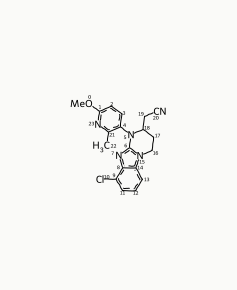 COc1ccc(N2c3nc4c(Cl)cccc4n3CCC2CC#N)c(C)n1